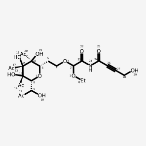 CCOC(OCC[C@@H]1O[C@H](C(O)C(C)=O)[C@@](O)(C(C)=O)[C@@](O)(C(C)=O)[C@]1(O)C(C)=O)C(=O)NC(=O)C#CCO